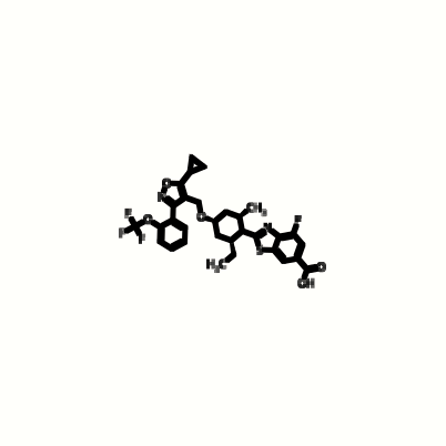 CC[C@H]1C[C@@H](OCc2c(-c3ccccc3OC(F)(F)F)noc2C2CC2)C[C@@H](C)C1c1nc2c(F)cc(C(=O)O)cc2s1